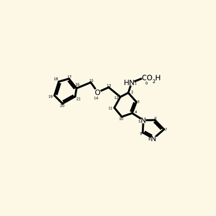 O=C(O)NC1C=C(n2ccnc2)CCC1COCc1ccccc1